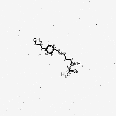 CCCCc1ccc(C=NCCCC(C)OC(C)=O)cc1